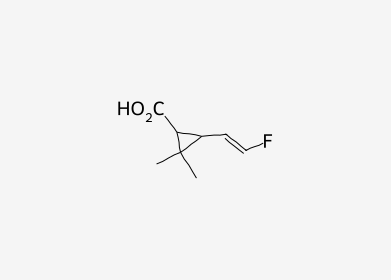 CC1(C)C(C=CF)C1C(=O)O